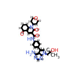 CC(C)(O)Cn1cc(-c2ccc(NC(=O)c3cc4c(n(C5CCOCC5)c3=O)CCCC4=O)cc2)c2c(N)ncnc21